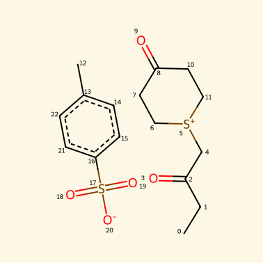 CCC(=O)C[S+]1CCC(=O)CC1.Cc1ccc(S(=O)(=O)[O-])cc1